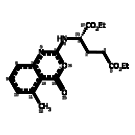 CCOC(=O)CC[C@H](Nc1nc2cccc(C)c2c(=O)o1)C(=O)OCC